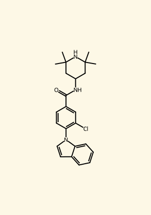 CC1(C)CC(NC(=O)c2ccc(-n3ccc4ccccc43)c(Cl)c2)CC(C)(C)N1